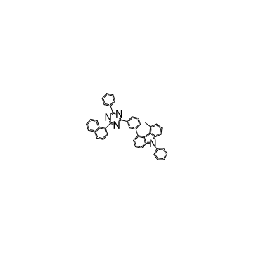 Cc1cccc2c1c1c(-c3cccc(-c4nc(-c5ccccc5)nc(-c5cccc6ccccc56)n4)c3)cccc1n2-c1ccccc1